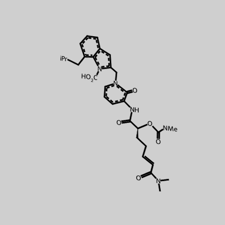 CNC(=O)O[C@@H](CC/C=C/C(=O)N(C)C)C(=O)Nc1cccn(Cc2cc3cccc(CC(C)C)c3n2C(=O)O)c1=O